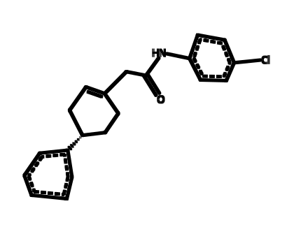 O=C(CC1=CC[C@@H](c2ccccc2)CC1)Nc1ccc(Cl)cc1